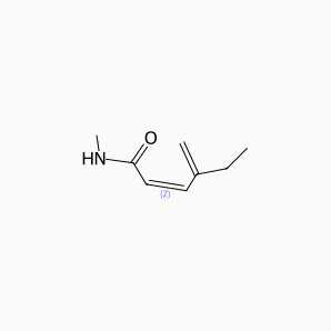 C=C(/C=C\C(=O)NC)CC